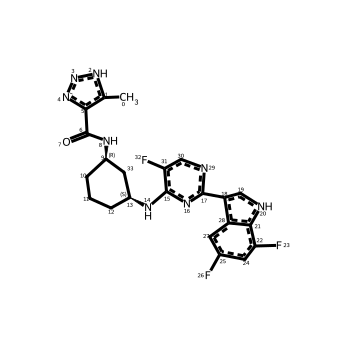 Cc1[nH]nnc1C(=O)N[C@@H]1CCC[C@H](Nc2nc(-c3c[nH]c4c(F)cc(F)cc34)ncc2F)C1